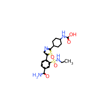 CCNS(=O)(=O)c1cc(C(N)=O)ccc1-c1cnc(C2CCC(NC(=O)O)CC2)s1